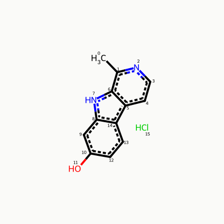 Cc1nccc2c1[nH]c1cc(O)ccc12.Cl